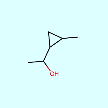 [CH2]C1CC1C(C)O